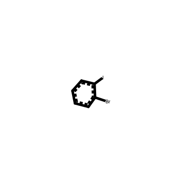 Brc1[c]cc[c]c1I